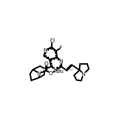 CC(C)(C)OC(=O)N1C2CCC1CN(c1nc(/C=C/C34CCCN3CCC4)nc3c(F)c(Cl)ncc13)C2